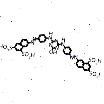 O=S(=O)(O)c1cc(S(=O)(=O)O)c2cc(/N=N/c3ccc(Nc4nc(O)nc(Nc5ccc(/N=N/c6ccc7cc(S(=O)(=O)O)cc(S(=O)(=O)O)c7c6)cc5)n4)cc3)ccc2c1